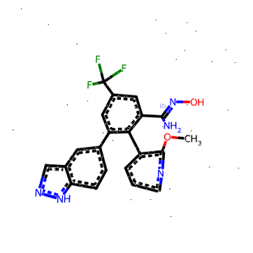 COc1ncccc1-c1c(/C(N)=N/O)cc(C(F)(F)F)cc1-c1ccc2[nH]ncc2c1